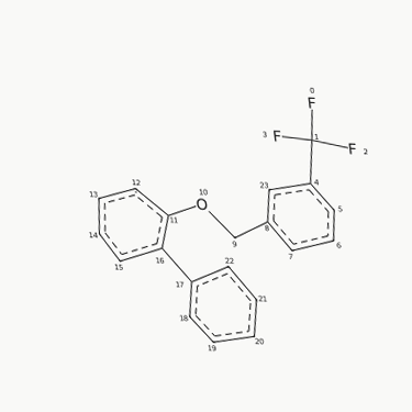 FC(F)(F)c1cccc(COc2[c]cccc2-c2ccccc2)c1